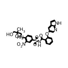 CC(C)(CO)CNc1ccc(S(=O)(=O)NC(=O)c2ccccc2Oc2cnc3[nH]ccc3c2)cc1[N+](=O)[O-]